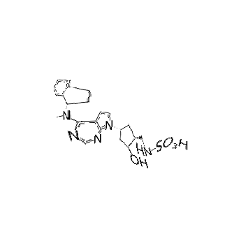 CN(c1ncnc2c1ccn2[C@@H]1C[C@@H](CNS(=O)(=O)O)[C@@H](O)C1)[C@H]1CCc2ccccc21